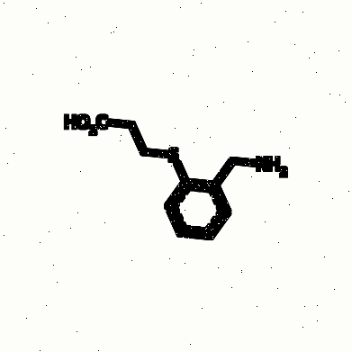 NCc1ccccc1SCCC(=O)O